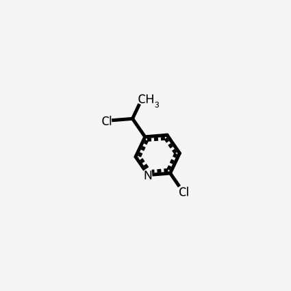 CC(Cl)c1ccc(Cl)nc1